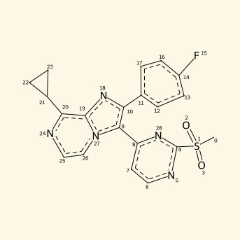 CS(=O)(=O)c1nccc(-c2c(-c3ccc(F)cc3)nc3c(C4CC4)nccn23)n1